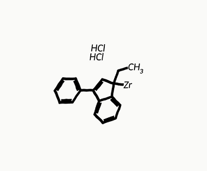 CC[C]1([Zr])C=C(c2ccccc2)c2ccccc21.Cl.Cl